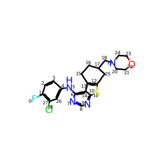 Fc1ccc(Nc2ncnc3sc4c(c23)CCC(CN2CCOCC2)C4)cc1Cl